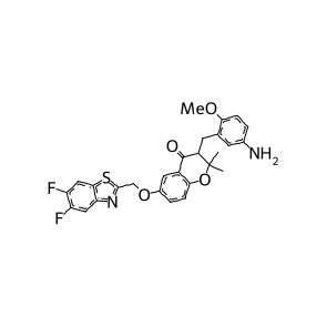 COc1ccc(N)cc1CC1C(=O)c2cc(OCc3nc4cc(F)c(F)cc4s3)ccc2OC1(C)C